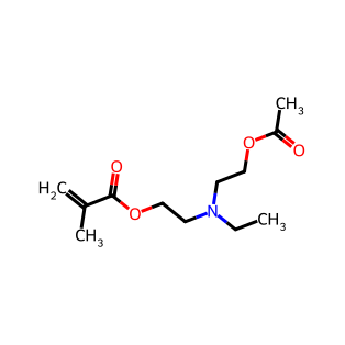 C=C(C)C(=O)OCCN(CC)CCOC(C)=O